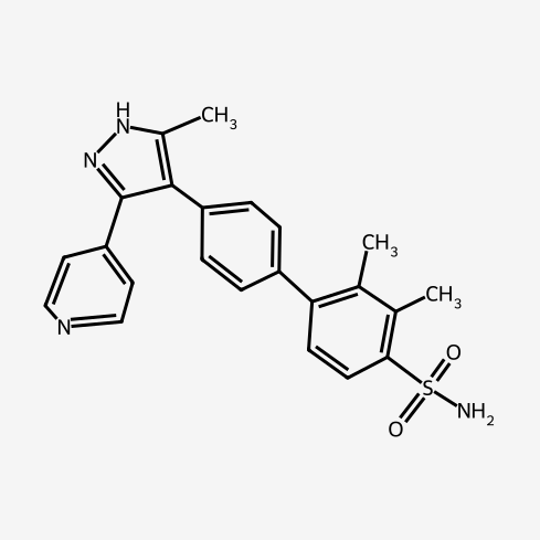 Cc1[nH]nc(-c2ccncc2)c1-c1ccc(-c2ccc(S(N)(=O)=O)c(C)c2C)cc1